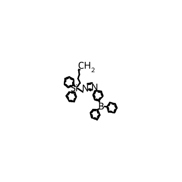 C=CCCC[Si](Cn1ccnc1)(c1ccccc1)c1ccccc1.c1ccc(B(c2ccccc2)c2ccccc2)cc1